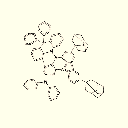 c1ccc(N(c2ccccc2)c2cc3c4c(c2)-n2c5ccc(C67CC8CC(CC(C8)C6)C7)cc5c5cc(C67CC8CC(CC(C8)C6)C7)cc(c52)B4N2c4ccccc4C(c4ccccc4)(c4ccccc4)c4cccc-3c42)cc1